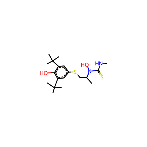 CNC(=S)N(O)C(C)CSc1cc(C(C)(C)C)c(O)c(C(C)(C)C)c1